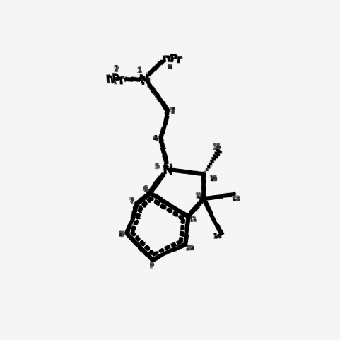 CCCN(CCC)CCN1c2ccccc2C(C)(C)[C@H]1C